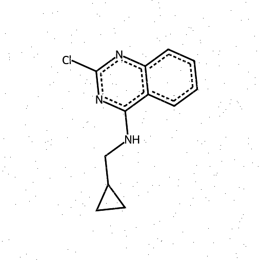 Clc1nc(NCC2CC2)c2ccccc2n1